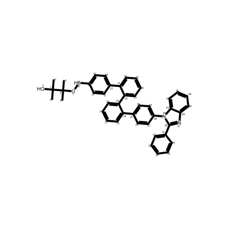 CC(C)(O)C(C)(C)OBc1ccc(-c2ccccc2-c2ccccc2-c2ccc(-n3c(-c4ccccc4)nc4ccccc43)cc2)cc1